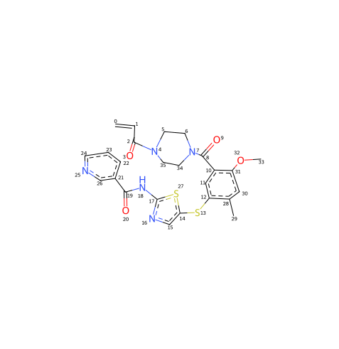 C=CC(=O)N1CCN(C(=O)c2cc(Sc3cnc(NC(=O)c4cccnc4)s3)c(C)cc2OC)CC1